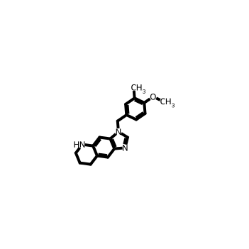 COc1ccc(Cn2cnc3cc4c(cc32)NCCC4)cc1C